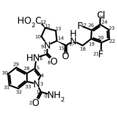 NC(=O)n1cc(NC(=O)N2C[C@@H](C(=O)O)C[C@H]2C(=O)NCc2c(F)ccc(Cl)c2F)c2ccccc21